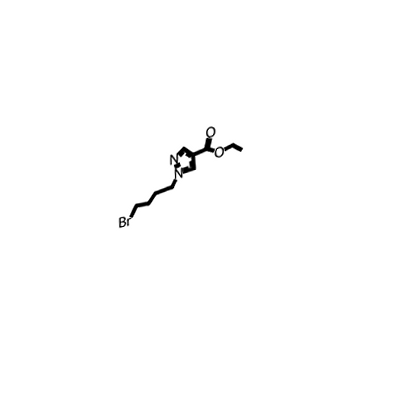 CCOC(=O)c1cnn(CCCCBr)c1